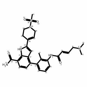 Cc1c(NC(=O)C=CCN(C)C)cccc1-c1ccc(C(N)=O)c2[nH]c(C3=CCN(S(C)(=O)=O)CC3)cc12